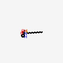 CCCCCCCCCCCCC(=S)N[C@](CC)(C(=O)O)c1ccccc1